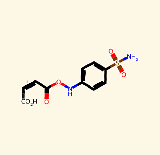 NS(=O)(=O)c1ccc(NOC(=O)/C=C\C(=O)O)cc1